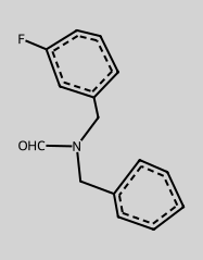 O=CN(Cc1ccccc1)Cc1cccc(F)c1